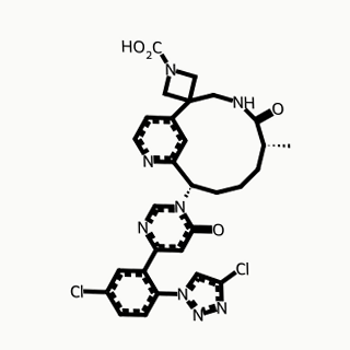 C[C@@H]1CCC[C@H](n2cnc(-c3cc(Cl)ccc3-n3cc(Cl)nn3)cc2=O)c2cc(ccn2)C2(CNC1=O)CN(C(=O)O)C2